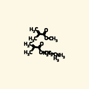 C=C(C)C(=O)OC.C=C(C)C(=O)OC.CC.N